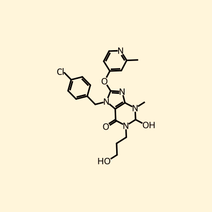 Cc1cc(Oc2nc3c(n2Cc2ccc(Cl)cc2)C(=O)N(CCCO)C(O)N3C)ccn1